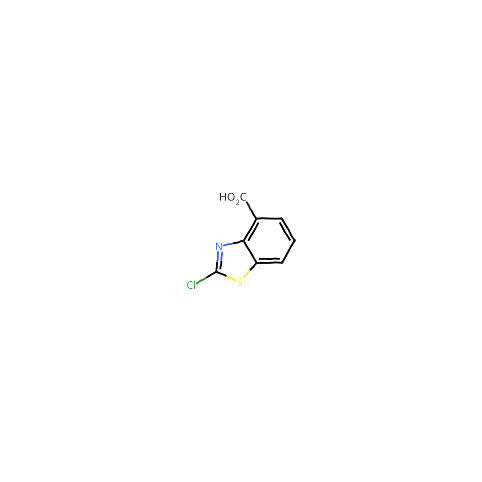 O=C(O)c1cccc2sc(Cl)nc12